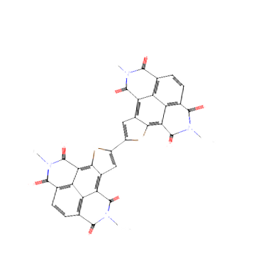 CCCCCCCCN1C(=O)c2ccc3c4c(c5sc(-c6cc7c8c9c(ccc%10c9c(c7s6)C(=O)N(CCCCCCCC)C%10=O)C(=O)N(CCCCCCCC)C8=O)cc5c(c24)C1=O)C(=O)N(CCCCCCCC)C3=O